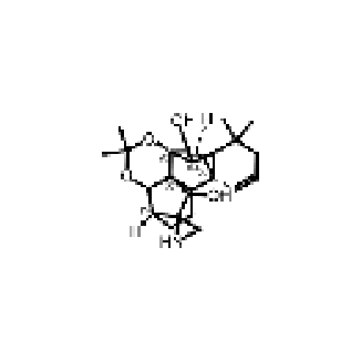 CC1(C)OC2[C@H]3CCC4[C@]56C=CCC(C)(C)C5[C@H](O)[C@](OC6)(O1)[C@@]24C(O)C31CN1